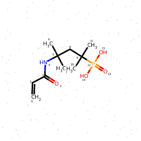 C=CC(=O)NC(C)(C)CC(C)(C)P(=O)(O)O